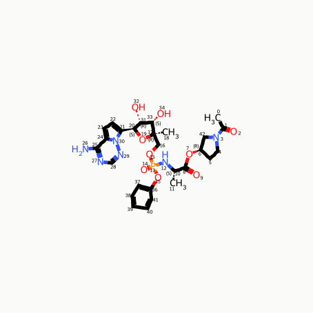 CC(=O)N1CC[C@@H](OC(=O)[C@H](C)NP(=O)(OC[C@@]2(C)O[C@@H](c3ccc4c(N)ncnn34)[C@H](O)[C@@H]2O)Oc2ccccc2)C1